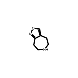 c1onc2c1CCNCC2